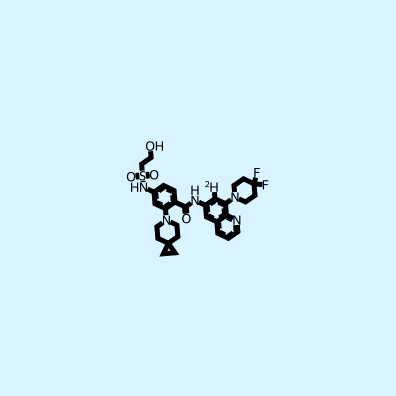 [2H]c1c(NC(=O)c2ccc(NS(=O)(=O)CCO)cc2N2CCC3(CC2)CC3)cc2cccnc2c1N1CCC(F)(F)CC1